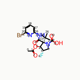 CC(=O)O[C@@H]1[C@@H](F)CN(C(=O)O)[C@@]1(C(=O)Nc1cccc(Br)n1)C(C)(C)C